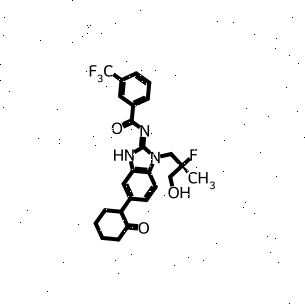 C[C@@](F)(CO)Cn1/c(=N/C(=O)c2cccc(C(F)(F)F)c2)[nH]c2cc(C3CCCCC3=O)ccc21